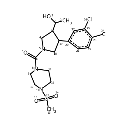 CC(O)C1CN(C(=O)N2CCN(S(C)(=O)=O)CC2)CC1c1ccc(Cl)c(Cl)c1